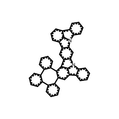 c1ccc2c(c1)-c1ccccc1-c1cc3c4ccccc4n4c5cc6c(cc5c(c1-c1ccccc1-2)c34)c1cccc2c3ccccc3n6c21